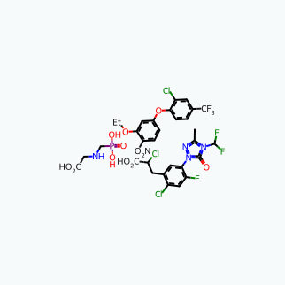 CCOc1cc(Oc2ccc(C(F)(F)F)cc2Cl)ccc1[N+](=O)[O-].Cc1nn(-c2cc(CC(Cl)C(=O)O)c(Cl)cc2F)c(=O)n1C(F)F.O=C(O)CNCP(=O)(O)O